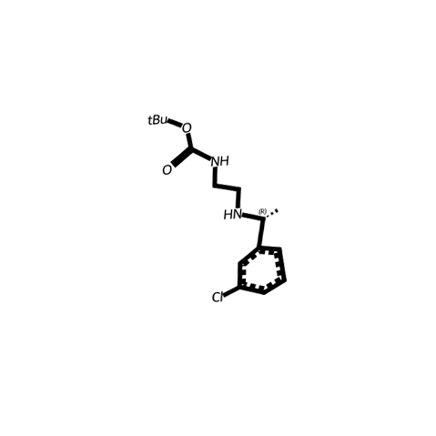 C[C@@H](NCCNC(=O)OC(C)(C)C)c1cccc(Cl)c1